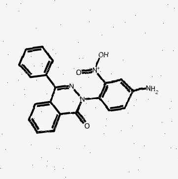 Nc1ccc(-n2nc(-c3ccccc3)c3ccccc3c2=O)c([N+](=O)O)c1